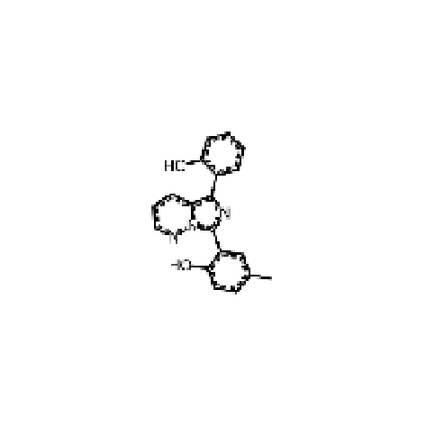 Cc1ccc(O)c(-c2nc(-c3ccccc3O)c3cccnn23)c1